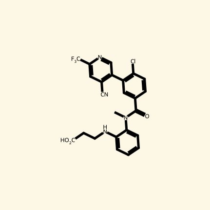 CN(C(=O)c1ccc(Cl)c(-c2cnc(C(F)(F)F)cc2C#N)c1)c1ccccc1NCCC(=O)O